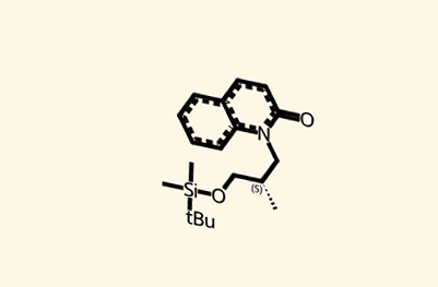 C[C@H](CO[Si](C)(C)C(C)(C)C)Cn1c(=O)ccc2ccccc21